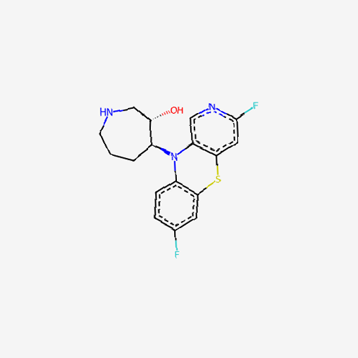 O[C@H]1CNCCC[C@@H]1N1c2ccc(F)cc2Sc2cc(F)ncc21